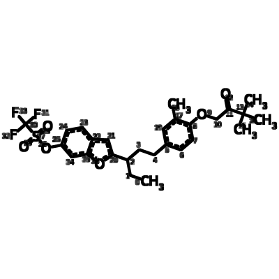 CCC(CCc1ccc(OCC(=O)C(C)(C)C)c(C)c1)c1cc2ccc(OS(=O)(=O)C(F)(F)F)cc2o1